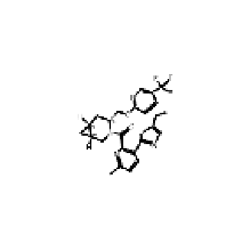 CCc1cnc(-c2ccc(C)nc2C(=O)N2C[C@@H]3C[C@@H]3C[C@H]2COc2ccc(C(F)(F)F)cn2)o1